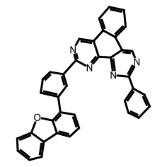 c1ccc(-c2ncc3c4ccccc4c4cnc(-c5cccc(-c6cccc7c6oc6ccccc67)c5)nc4c3n2)cc1